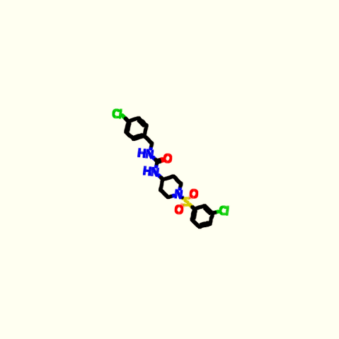 O=C(NCc1ccc(Cl)cc1)NC1CCN(S(=O)(=O)c2cccc(Cl)c2)CC1